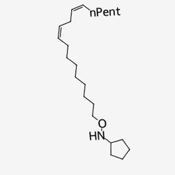 CCCCC/C=C\C/C=C\CCCCCCCCONC1CCCC1